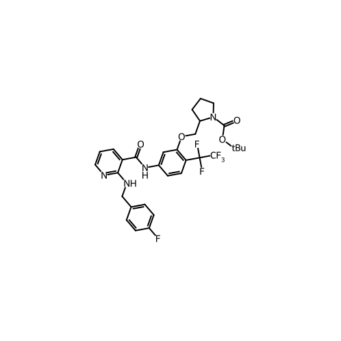 CC(C)(C)OC(=O)N1CCCC1COc1cc(NC(=O)c2cccnc2NCc2ccc(F)cc2)ccc1C(F)(F)C(F)(F)F